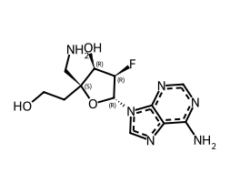 NC[C@]1(CCO)O[C@@H](n2cnc3c(N)ncnc32)[C@H](F)[C@@H]1O